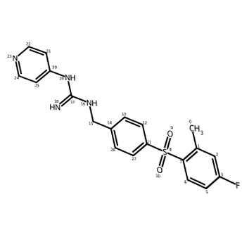 Cc1cc(F)ccc1S(=O)(=O)c1ccc(CNC(=N)Nc2ccncc2)cc1